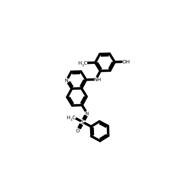 Cc1ccc(O)cc1Nc1ccnc2ccc(N=S(C)(=O)c3ccccc3)cc12